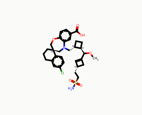 COC(C1=C[C@@H](CCS(N)(=O)=O)C1)[C@@H]1CC[C@H]1CN1C[C@@]2(CCCc3cc(Cl)ccc32)COc2ccc(C(=O)O)cc21